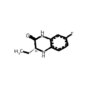 CC[C@H]1Nc2ccc(F)cc2NC1=O